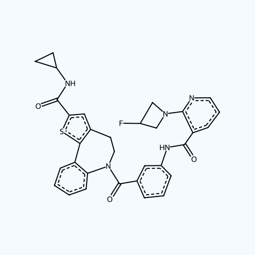 O=C(NC1CC1)c1cc2c(s1)-c1ccccc1N(C(=O)c1cccc(NC(=O)c3cccnc3N3CC(F)C3)c1)CC2